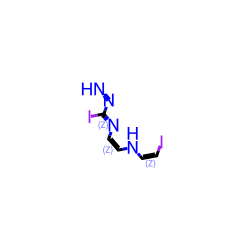 N=N/C(I)=N/C=C\N/C=C\I